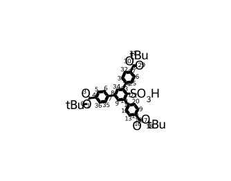 CC(C)(C)OC(=O)c1ccc(-c2cc(-c3ccc(C(=O)OC(C)(C)C)cc3)c(S(=O)(=O)O)c(-c3ccc(C(=O)OC(C)(C)C)cc3)c2)cc1